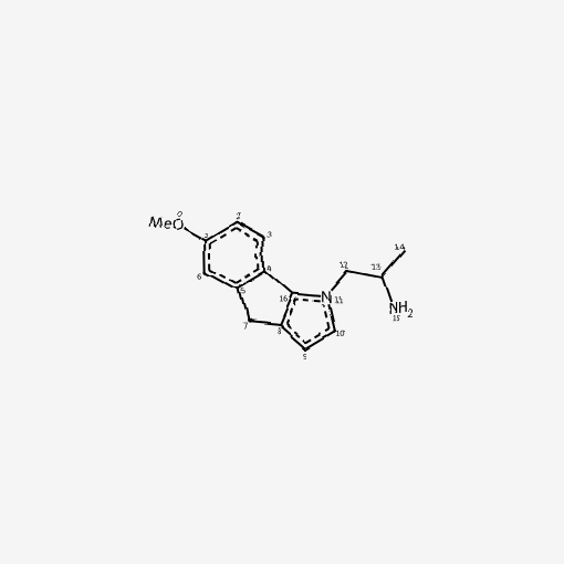 COc1ccc2c(c1)Cc1ccn(CC(C)N)c1-2